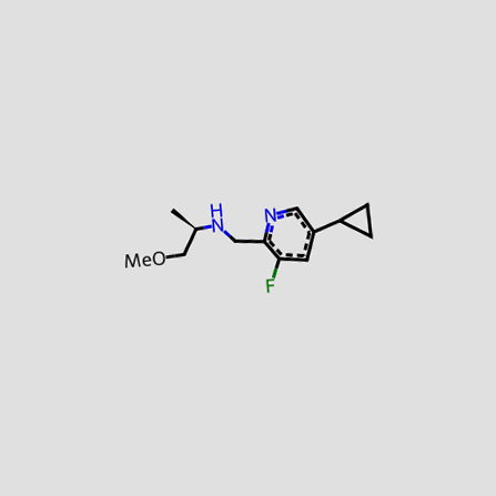 COC[C@@H](C)NCc1ncc(C2CC2)cc1F